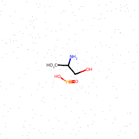 NC(CO)C(=O)O.O=PO